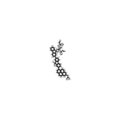 C=CC(=O)OCC1(CCC(C)OC(=O)C=C)c2ccccc2-c2ccc(-c3ccc4c(c3)C(C)(C)c3cc(-c5ccc6ccc7cc(CC(C)C)cc8ccc5c6c78)ccc3-4)cc21